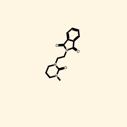 CN1CCCN(CCN2C(=O)c3ccccc3C2=O)C1=O